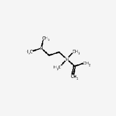 C=C(C)[Si](C)(C)CCN(C)C